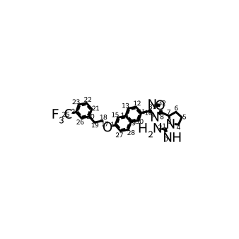 N=C(N)N1CCCC1c1nc(-c2ccc3cc(OCCc4cccc(C(F)(F)F)c4)ccc3c2)no1